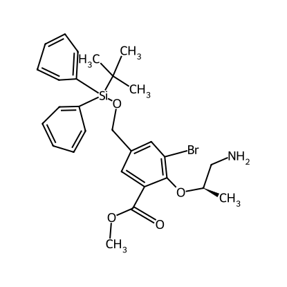 COC(=O)c1cc(CO[Si](c2ccccc2)(c2ccccc2)C(C)(C)C)cc(Br)c1O[C@H](C)CN